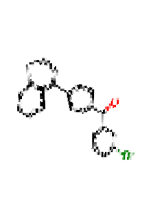 O=C(c1ccc(-c2cccc3ccccc23)cc1)c1cccc(Br)c1